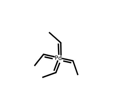 C[CH]=[Pd](=[CH]C)(=[CH]C)=[CH]C